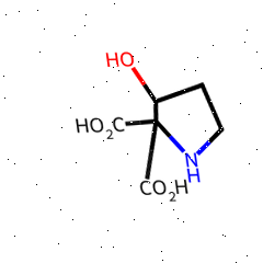 O=C(O)C1(C(=O)O)NCCC1O